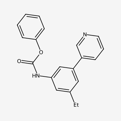 CCc1cc(NC(=O)Oc2ccccc2)cc(-c2cccnc2)c1